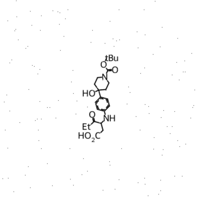 CCC(=O)C(CC(=O)O)Nc1ccc(C2(O)CCN(C(=O)OC(C)(C)C)CC2)cc1